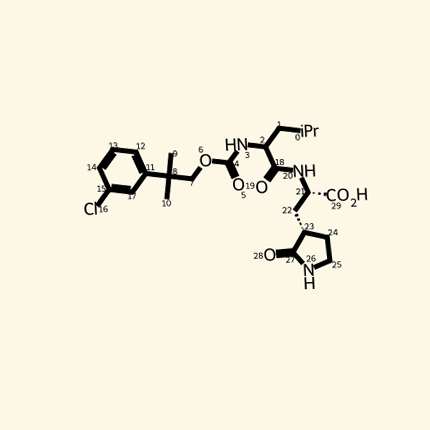 CC(C)CC(NC(=O)OCC(C)(C)c1cccc(Cl)c1)C(=O)N[C@@H](C[C@@H]1CCNC1=O)C(=O)O